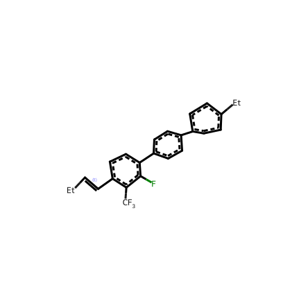 CC/C=C/c1ccc(-c2ccc(-c3ccc(CC)cc3)cc2)c(F)c1C(F)(F)F